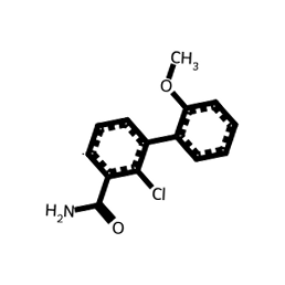 COc1ccccc1-c1cc[c]c(C(N)=O)c1Cl